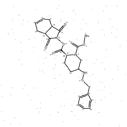 CC(C)(C)OC(=O)N1CC(NOCc2ccccc2)CC[C@H]1C(=O)ON1C(=O)C2CC=CCC2C1=O